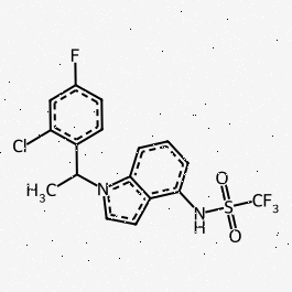 CC(c1ccc(F)cc1Cl)n1ccc2c(NS(=O)(=O)C(F)(F)F)cccc21